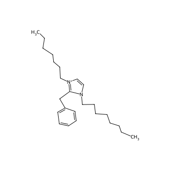 CCCCCCCCn1cc[n+](CCCCCCC)c1Cc1ccccc1